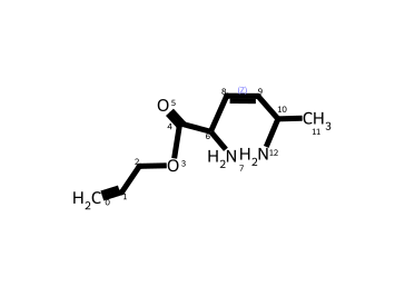 C=CCOC(=O)C(N)/C=C\C(C)N